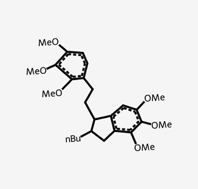 CCCCC1Cc2c(cc(OC)c(OC)c2OC)C1CCc1ccc(OC)c(OC)c1OC